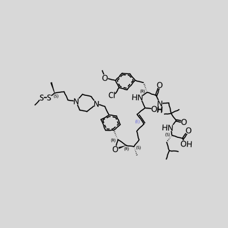 COc1ccc(C[C@@H](NC(O)/C=C/CC[C@H](C)[C@H]2O[C@@H]2c2ccc(CN3CCN(CC[C@H](C)SSC)CC3)cc2)C(=O)NCC(C)(C)C(=O)N[C@@H](CC(C)C)C(=O)O)cc1Cl